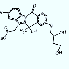 COC(=O)Cn1c2c(c3ccc(Br)cc31)C(=O)c1ccc(OCC(O)CCO)cc1C2(C)C